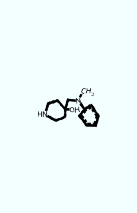 CN(CC1(O)CCNCC1)c1ccccc1